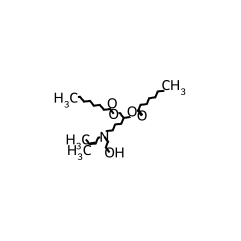 CCCCCCCC(=O)OCC(CCCCN(CC=C(C)C)CCO)COC(=O)CCCCCCC